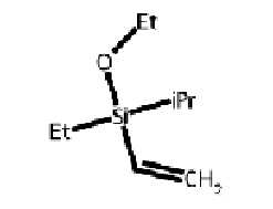 C=C[Si](CC)(OCC)C(C)C